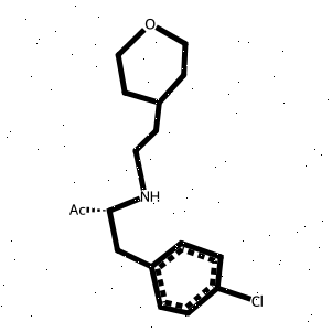 CC(=O)[C@@H](Cc1ccc(Cl)cc1)NCCC1CCOCC1